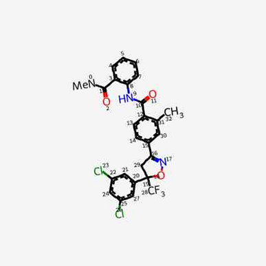 CNC(=O)c1ccccc1NC(=O)c1ccc(C2=NOC(c3cc(Cl)cc(Cl)c3)(C(F)(F)F)C2)cc1C